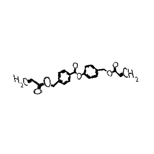 C=CC(=O)OCc1ccc(OC(=O)c2ccc(COC(=O)C=C)cc2)cc1